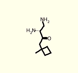 CC1(CC(=O)[C@H](N)CN)CCC1